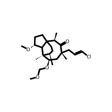 COCO[C@@H]1C[C@@](C)(CC=CCl)C(=O)[C@H](C)C23CC[C@@H](C)[C@]1(C)C2[C@H](OC)CC3